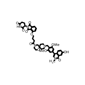 COc1cc(-c2cn(C)c(=O)c3cc(O)ccc23)cc(OC)c1CN1CCC2(CC1)CN(C(=O)CCCOc1cccc3c1C(=O)N(C1CCC(=O)NC1=O)C3=O)CCO2